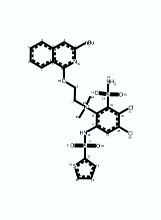 CCCCc1cc2ccccc2c(OCC[N+](C)(C)c2c(NS(=O)(=O)c3cccs3)cc(Cl)c(Cl)c2S(N)(=O)=O)n1